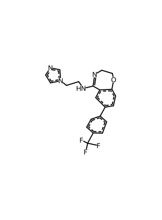 FC(F)(F)c1ccc(-c2ccc3c(c2)C(NCCn2ccnc2)=NCCO3)cc1